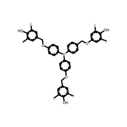 Oc1c(I)cc(COc2ccc([S+](c3ccc(COc4cc(I)c(O)c(I)c4)cc3)c3ccc(OCc4cc(I)c(O)c(I)c4)cc3)cc2)cc1I